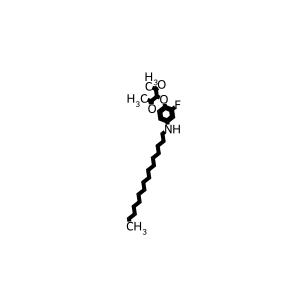 CCCCCCCCCCCCCCCCNc1ccc(OC(C(C)=O)C(C)=O)c(F)c1